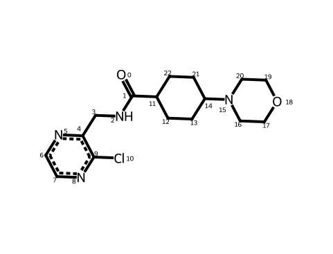 O=C(NCc1nccnc1Cl)C1CCC(N2CCOCC2)CC1